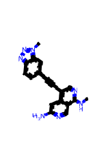 CNc1ncc(C#Cc2ccc3nnn(C)c3c2)c2cc(N)ncc12